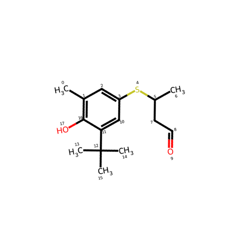 Cc1cc(SC(C)CC=O)cc(C(C)(C)C)c1O